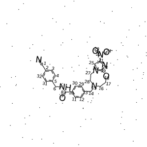 N#Cc1ccc(CNC(=O)c2ccc(CN3CCOc4nc([N+](=O)[O-])cn4CC3)cc2)cc1